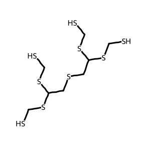 SCSC(CSCC(SCS)SCS)SCS